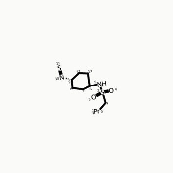 CC(C)CS(=O)(=O)N[C@H]1CC[C@H](N=S)CC1